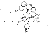 CC/C=C/[C@](CN1CCN(C(C)C)CC1)(OCC)[C@@H]1CC[C@H]1CN1C[C@@]2(CCCc3cc(Cl)ccc32)COc2ccc(C(=O)NS(=O)(=O)C(C)C)cc21